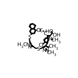 Cc1c2c(nn1C)CSCc1cc(n(C)n1)CSc1cc(c3ccccc3c1)OCCCc1c(C(O)O)n(C)c3c-2c(Cl)ccc13